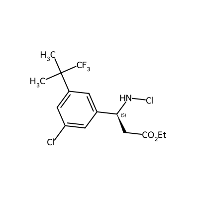 CCOC(=O)C[C@H](NCl)c1cc(Cl)cc(C(C)(C)C(F)(F)F)c1